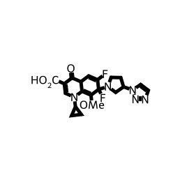 COC1=C2C(C=C(F)C1(F)N1CCC(n3ccnn3)C1)C(=O)C(C(=O)O)=CN2C1CC1